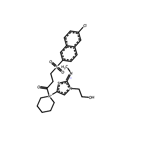 C/N=c1\sc([N+]2(C(=O)CCS(=O)(=O)c3ccc4cc(Cl)ccc4c3)CCCCC2)cn1CCO